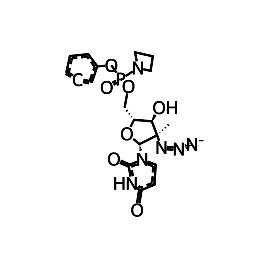 C[C@@]1(N=[N+]=[N-])[C@H](O)[C@@H](COP(=O)(Oc2ccccc2)N2CCC2)O[C@H]1n1ccc(=O)[nH]c1=O